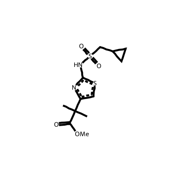 COC(=O)C(C)(C)c1csc(NS(=O)(=O)CC2CC2)n1